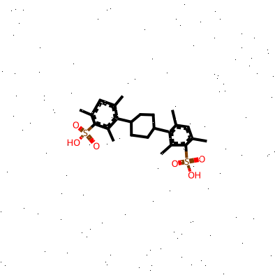 Cc1cc(C)c(S(=O)(=O)O)c(C)c1C1CCC(c2c(C)cc(C)c(S(=O)(=O)O)c2C)CC1